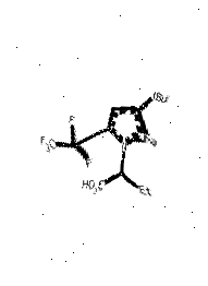 CCC(C(=O)O)n1nc(C(C)(C)C)cc1C(F)(F)C(F)(F)F